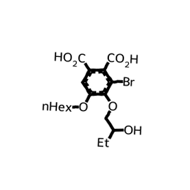 CCCCCCOc1cc(C(=O)O)c(C(=O)O)c(Br)c1OCC(O)CC